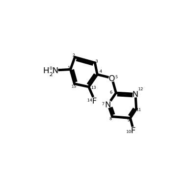 Nc1ccc(Oc2ncc(F)cn2)c(F)c1